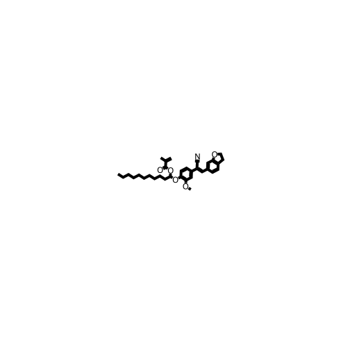 C=C(C)C(=O)OC(CCCCCCCCCC)Oc1ccc(C(C#N)=Cc2ccc3c(c2)OCC3)cc1OC